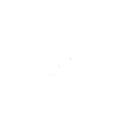 CCCC/C(=C(/CC1=CC=CCC1)c1cccc(F)c1)N(CC1CCC(CCC)CC1)OC#N